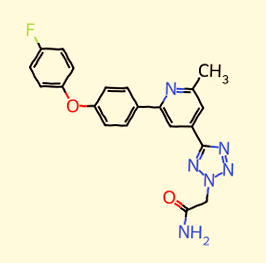 Cc1cc(-c2nnn(CC(N)=O)n2)cc(-c2ccc(Oc3ccc(F)cc3)cc2)n1